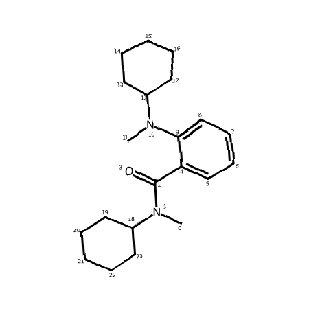 CN(C(=O)c1ccccc1N(C)C1CCCCC1)C1CCCCC1